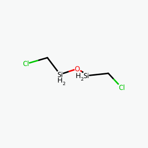 ClC[SiH2]O[SiH2]CCl